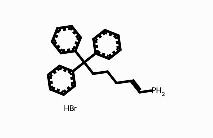 Br.PC=CCCCC(c1ccccc1)(c1ccccc1)c1ccccc1